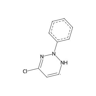 ClC1=NN(c2ccccc2)N[C]=C1